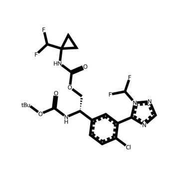 CC(C)(C)OC(=O)N[C@H](COC(=O)NC1(C(F)F)CC1)c1ccc(Cl)c(-c2ncnn2C(F)F)c1